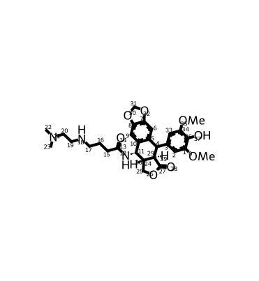 COc1cc(C2c3cc4c(cc3[C@@H](NC(=O)CCCNCCN(C)C)[C@H]3COC(=O)[C@H]23)OCO4)cc(OC)c1O